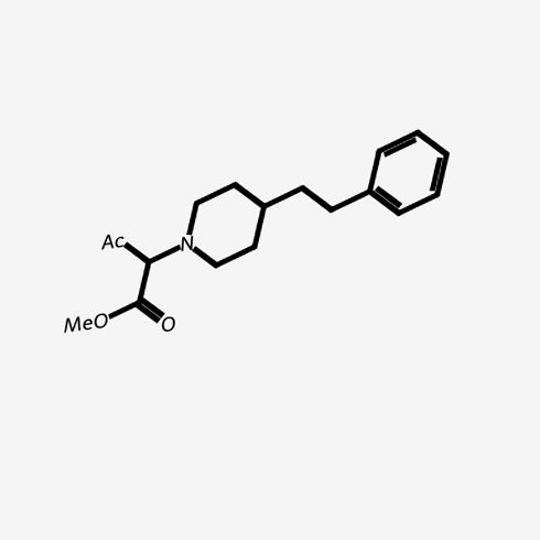 COC(=O)C(C(C)=O)N1CCC(CCc2ccccc2)CC1